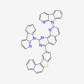 c1ccc2c(c1)ccc1sc3ccc(-c4nc(-n5c6ccccc6c6cccnc65)nc5c4ccc4ccc(-n6c7ccccc7c7cccnc76)nc45)cc3c12